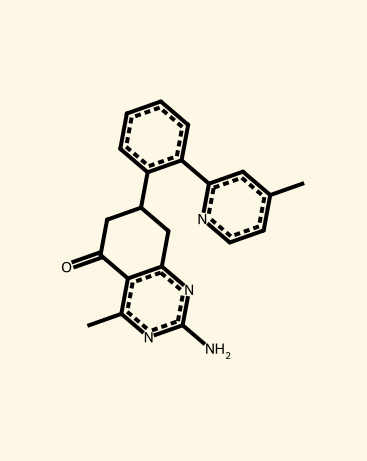 Cc1ccnc(-c2ccccc2C2CC(=O)c3c(C)nc(N)nc3C2)c1